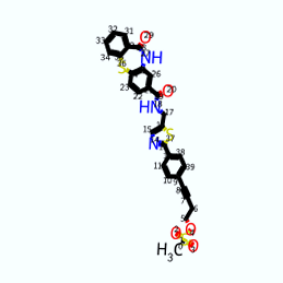 CS(=O)(=O)OCCC#Cc1ccc(-c2ncc(CNC(=O)c3ccc4c(c3)NC(=O)c3ccccc3S4)s2)cc1